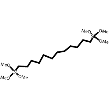 CO[Si](CCCCCCCCCCCC[Si](OC)(OC)OC)(OC)OC